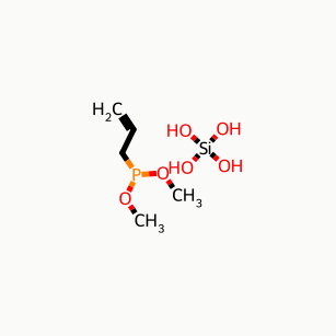 C=CCP(OC)OC.O[Si](O)(O)O